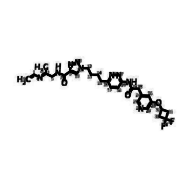 C=C/N=C(\C)CNC(=O)c1cn(CCCCc2ccc(NC(=O)Cc3cncc(OC4CC(F)(F)C4)c3)nn2)nn1